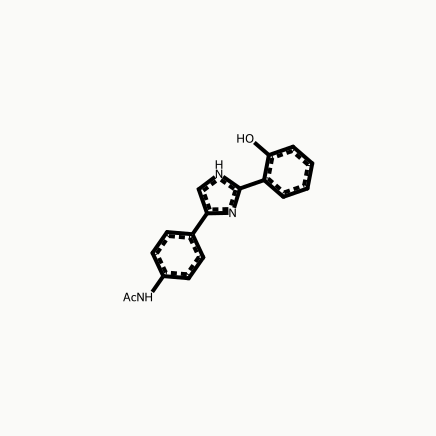 CC(=O)Nc1ccc(-c2c[nH]c(-c3ccccc3O)n2)cc1